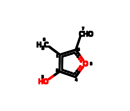 Cc1c(O)coc1C=O